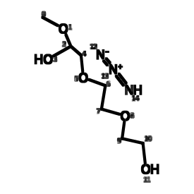 COC(O)COCCOCCO.[N-]=[N+]=N